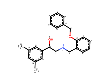 O[C@@H](CNCc1ccccc1OCc1ccccc1)c1cc(C(F)(F)F)cc(C(F)(F)F)c1